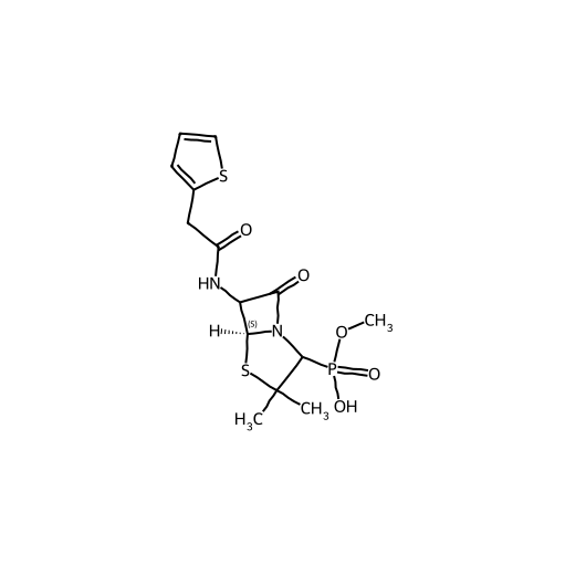 COP(=O)(O)C1N2C(=O)C(NC(=O)Cc3cccs3)[C@@H]2SC1(C)C